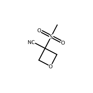 CS(=O)(=O)C1(C#N)COC1